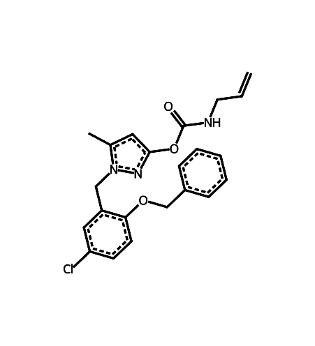 C=CCNC(=O)Oc1cc(C)n(Cc2cc(Cl)ccc2OCc2ccccc2)n1